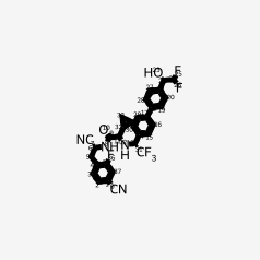 N#Cc1ccc(C[C@@H](C#N)NC(=O)C(N[C@@H](c2ccc(-c3ccc([C@@H](O)C(F)F)cc3)cc2)C(F)(F)F)C2CC2)c(F)c1